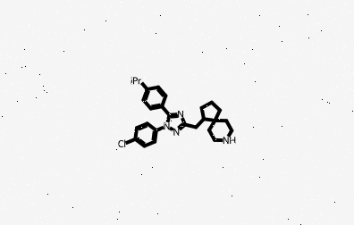 CC(C)c1ccc(-c2nc(CC3CCCC34CCNCC4)nn2-c2ccc(Cl)cc2)cc1